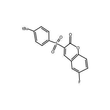 CC(C)(C)c1ccc(S(=O)(=O)c2cc3cc(F)ccc3oc2=O)cc1